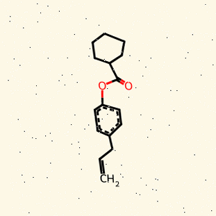 C=CCc1ccc(OC(=O)C2CCCCC2)cc1